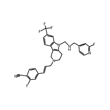 N#Cc1ccc(/C=C/CN2CCc3c(c4ccc(C(F)(F)F)cc4n3CNCc3ccnc(F)c3)C2)cc1F